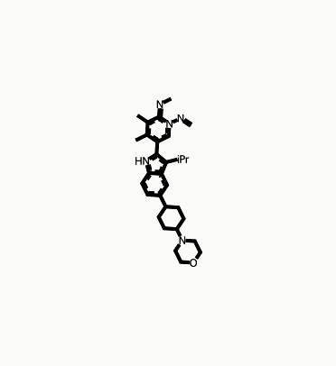 C=Nn1cc(-c2[nH]c3ccc(C4CCC(N5CCOCC5)CC4)cc3c2C(C)C)c(C)c(C)/c1=N/C